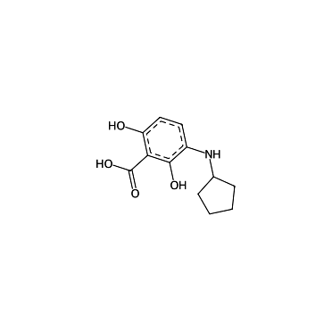 O=C(O)c1c(O)ccc(NC2CCCC2)c1O